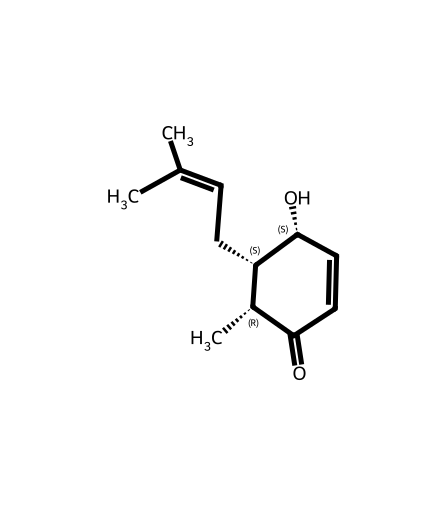 CC(C)=CC[C@@H]1[C@H](O)C=CC(=O)[C@@H]1C